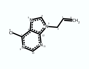 C=CCn1cnc2c(Cl)ncnc21